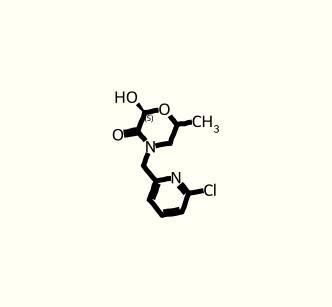 CC1CN(Cc2cccc(Cl)n2)C(=O)[C@@H](O)O1